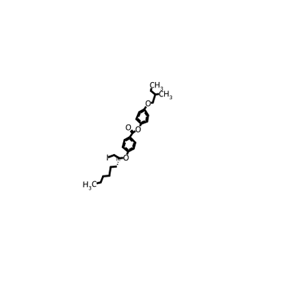 CCCCCC[C@H](CI)Oc1ccc(C(=O)Oc2ccc(OCC(C)CC)cc2)cc1